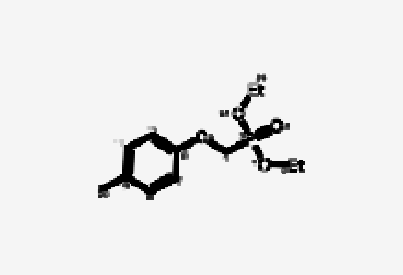 CCOP(=O)(COc1ccc(C)cc1)OCC